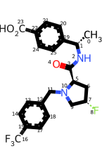 C[C@H](NC(=O)[C@H]1C[C@H](F)CN1Cc1ccc(C(F)(F)F)cc1)c1ccc(C(=O)O)cc1